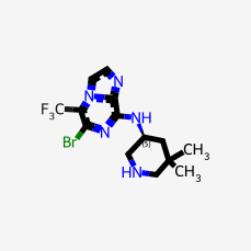 CC1(C)CNC[C@@H](Nc2nc(Br)c(C(F)(F)F)n3ccnc23)C1